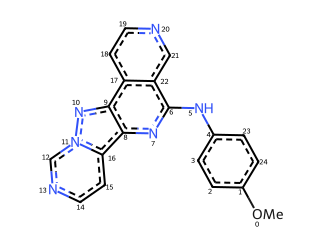 COc1ccc(Nc2nc3c(nn4cnccc34)c3ccncc23)cc1